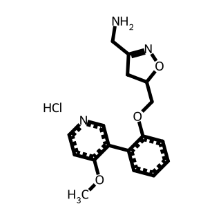 COc1ccncc1-c1ccccc1OCC1CC(CN)=NO1.Cl